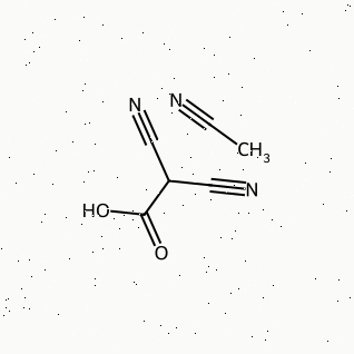 CC#N.N#CC(C#N)C(=O)O